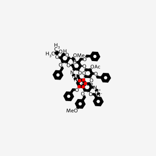 COC(=O)[C@@H]1O[C@H](O[C@@H]2C(COCc3ccccc3)O[C@H](O[C@H]3C(OCc4ccccc4)C4OC(C)(C)O[C@H]4O[C@H]3C(=O)OC)C(N=[N+]=[N-])[C@@H]2OCc2ccccc2)C(OC(C)=O)C(OCc2ccccc2)[C@@H]1O[C@H]1OC(COCc2ccccc2)[C@@H](OCc2ccc(OC)cc2)[C@@H](OCc2ccccc2)C1N=[N+]=[N-]